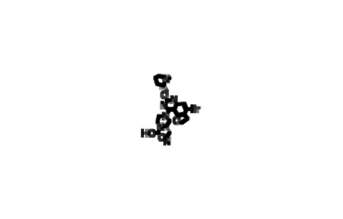 CN1CCC[C@H]1COc1nc(N2CCN(C(=O)O)[C@@H](CC#N)C2)c2c3c(c(Br)cc2n1)CCO3